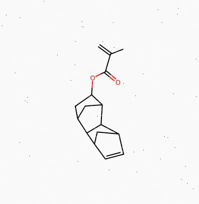 C=C(C)C(=O)OC1CC2CC1C1C3C=CC(C3)C21